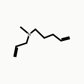 C=CCCCN(C)CC=C